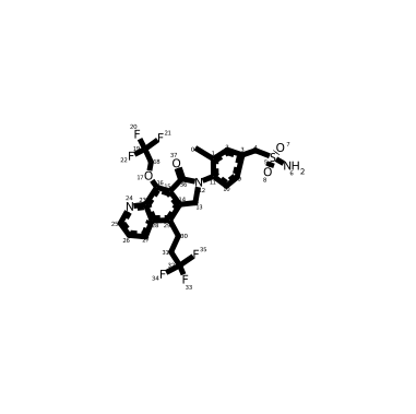 Cc1cc(CS(N)(=O)=O)ccc1N1Cc2c(c(OCC(F)(F)F)c3ncccc3c2CCC(F)(F)F)C1=O